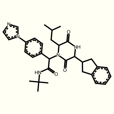 CC(C)CC1C(=O)NC(C2Cc3ccccc3C2)C(=O)N1C(C(=O)NC(C)(C)C)c1ccc(-n2ccnc2)cc1